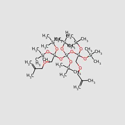 C=C(C)COC[Si](O[Si](C)(C)C)(O[Si](C)(C)C)O[Si](O[Si](C)(C)C)(O[Si](C)(C)C)O[Si](COCC(=C)C)(O[Si](C)(C)C)O[Si](C)(C)C